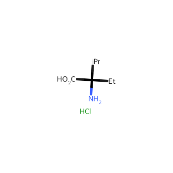 CCC(N)(C(=O)O)C(C)C.Cl